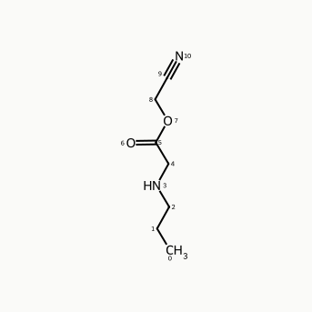 CCCNCC(=O)OCC#N